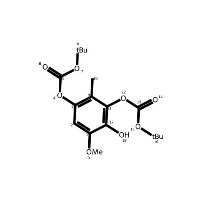 COc1cc(OC(=O)OC(C)(C)C)c(C)c(OC(=O)OC(C)(C)C)c1O